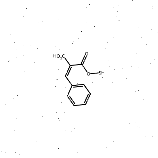 O=C(O)C(=Cc1ccccc1)C(=O)OS